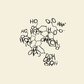 C[C@]12C=CC(=O)C=C1CCC1C2C(O)C[C@@]2(C)C1CC[C@]2(O)C(=O)CO.C[C@]12C=CC(=O)C=C1CC[C@@H]1C3CC[C@](O)(C(=O)CO)[C@@]3(C)CC(O)[C@H]12.O=C([O-])CCC(=O)[O-].O=P(O)(O)O.[Na+].[Na+]